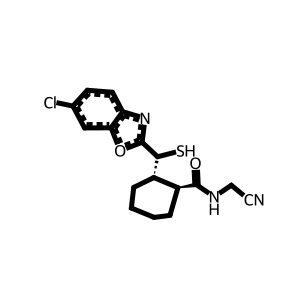 N#CCNC(=O)[C@H]1CCCC[C@@H]1C(S)c1nc2ccc(Cl)cc2o1